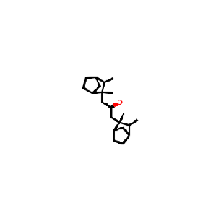 CC1C2CCC(C2)C1(C)CC(=O)CC1(C)C2CCC(C2)C1C